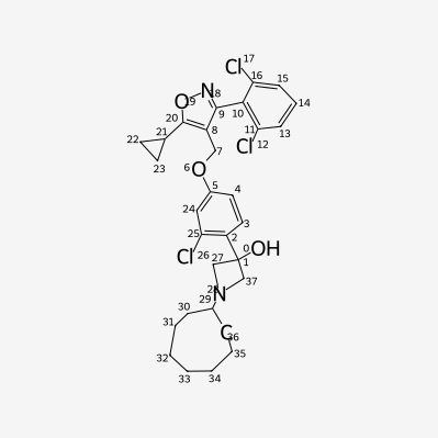 OC1(c2ccc(OCc3c(-c4c(Cl)cccc4Cl)noc3C3CC3)cc2Cl)CN(C2CCCCCCC2)C1